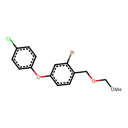 COCOCc1ccc(Oc2ccc(Cl)cc2)cc1Br